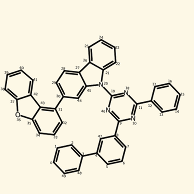 c1ccc(-c2cccc(-c3nc(-c4ccccc4)nc(-n4c5ccccc5c5ccc(-c6cccc7oc8ccccc8c67)cc54)n3)c2)cc1